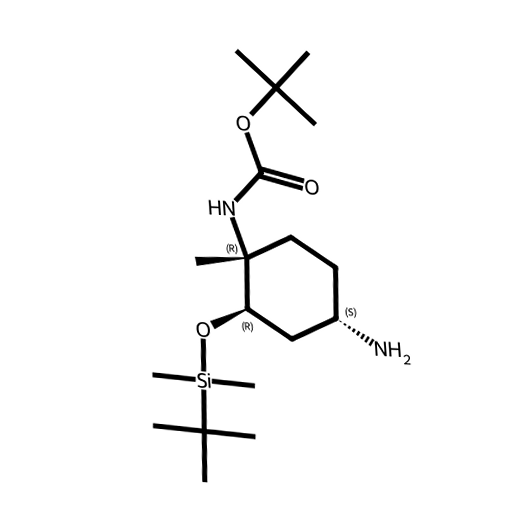 CC(C)(C)OC(=O)N[C@]1(C)CC[C@H](N)C[C@H]1O[Si](C)(C)C(C)(C)C